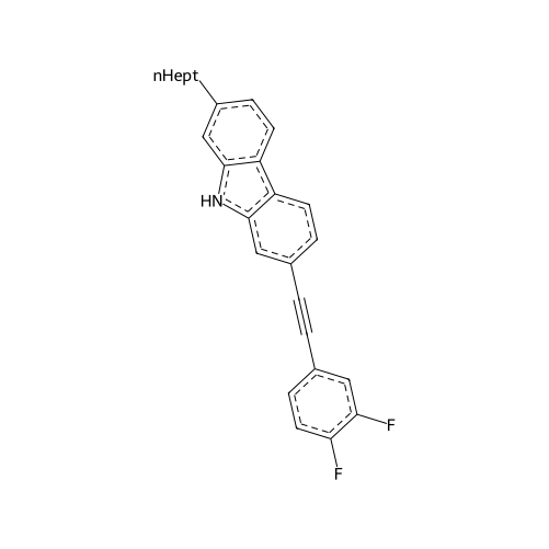 CCCCCCCc1ccc2c(c1)[nH]c1cc(C#Cc3ccc(F)c(F)c3)ccc12